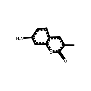 Cc1cc2ccc(N)cc2oc1=O